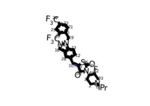 CC(C)N1CCC(N2C(=O)S/C(=C\c3ccc4c(cnn4Cc4ccc(C(F)(F)F)cc4C(F)(F)F)c3)C2=O)[C@H](F)C1